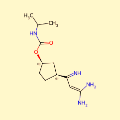 CC(C)NC(=O)O[C@@H]1CC[C@H](C(=N)C=C(N)N)C1